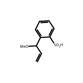 C=CC(OC)c1ccccc1S(=O)(=O)O